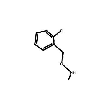 CNOCc1ccccc1Cl